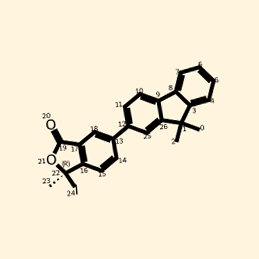 CC1(C)c2ccccc2-c2ccc(-c3ccc4c(c3)C(=O)O[C@]4(C)I)cc21